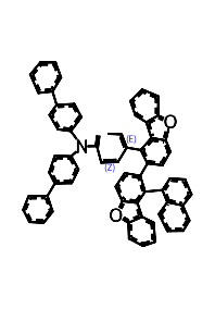 C=C(/C=C\C(=C/C)c1c(-c2ccc3oc4ccccc4c3c2-c2cccc3ccccc23)ccc2oc3ccccc3c12)N(c1ccc(-c2ccccc2)cc1)c1ccc(-c2ccccc2)cc1